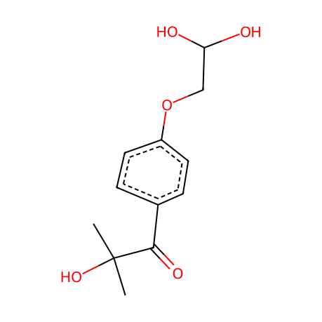 CC(C)(O)C(=O)c1ccc(OCC(O)O)cc1